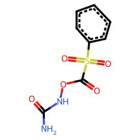 NC(=O)NOC(=O)S(=O)(=O)c1ccccc1